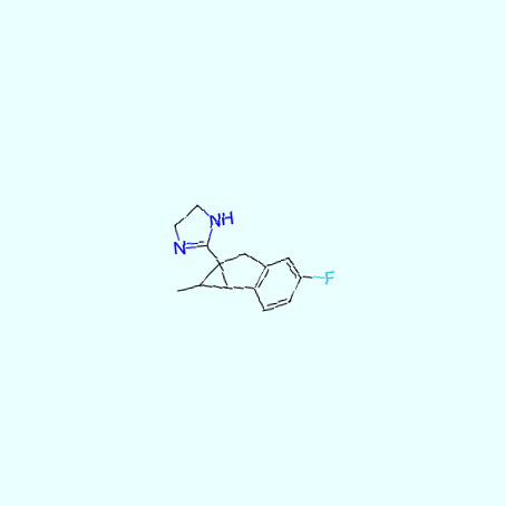 CC1C2c3ccc(F)cc3CC12C1=NCCN1